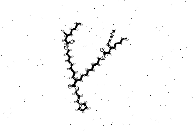 C=C=C=C=CC(CCCCC)CC(=O)OCCCCCCCCC(CCCCCCCCOC(=O)CC(C)CCCCC)C(=O)OCCCN1CCCC1